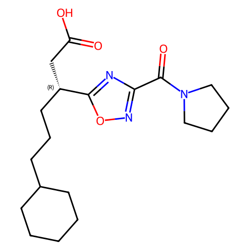 O=C(O)C[C@@H](CCCC1CCCCC1)c1nc(C(=O)N2CCCC2)no1